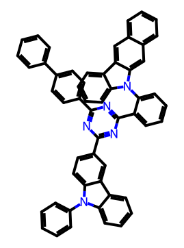 c1ccc(-c2ccc(-c3nc(-c4ccc5c(c4)c4ccccc4n5-c4ccccc4)nc(-c4ccccc4-n4c5ccccc5c5cc6ccccc6cc54)n3)cc2)cc1